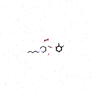 CCCCCN1CC[C@@H](CCOc2cccc(C)c2C)[C@@H](OC)C1.O=C(O)C(=O)O